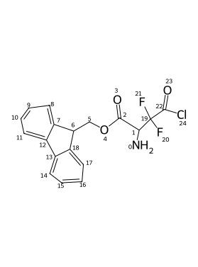 NC(C(=O)OCC1c2ccccc2-c2ccccc21)C(F)(F)C(=O)Cl